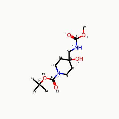 COC(=O)NCC1(O)CCN(C(=O)OC(C)(C)C)CC1